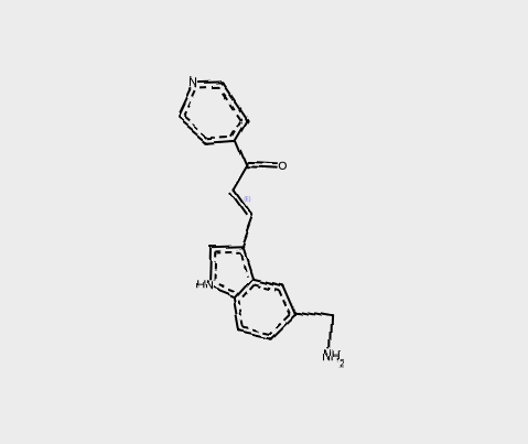 NCc1ccc2[nH]cc(/C=C/C(=O)c3ccncc3)c2c1